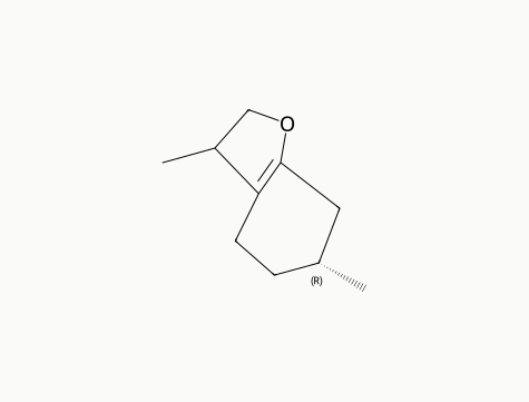 CC1COC2=C1CC[C@@H](C)C2